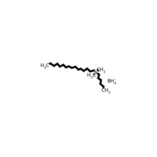 CCCCCCCCCCCCCCCC[N+](C)(C)CCCCCC.[BH4-]